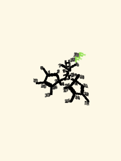 CC1=C[C](C)([Zr+2]([SiH](C)C)[C]2(C)C=C(C)C(C)=C2C)C(C)=C1C.[F-].[F-]